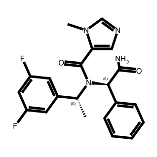 C[C@H](c1cc(F)cc(F)c1)N(C(=O)c1cncn1C)[C@@H](C(N)=O)c1ccccc1